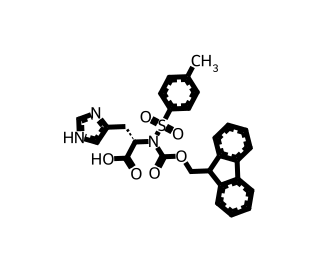 Cc1ccc(S(=O)(=O)N(C(=O)OCC2c3ccccc3-c3ccccc32)[C@@H](Cc2c[nH]cn2)C(=O)O)cc1